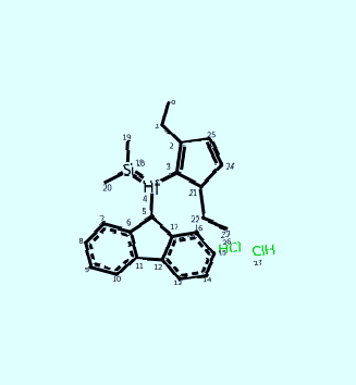 CCC1=[C]([Hf]([CH]2c3ccccc3-c3ccccc32)=[Si](C)C)C(CC)C=C1.Cl.Cl